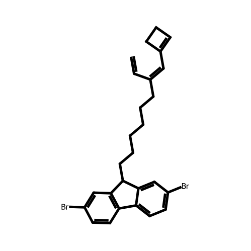 C=C/C(=C\C1=CCC1)CCCCCCC1c2cc(Br)ccc2-c2ccc(Br)cc21